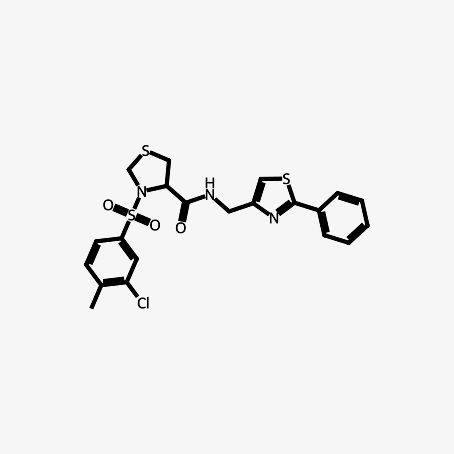 Cc1ccc(S(=O)(=O)N2CSCC2C(=O)NCc2csc(-c3ccccc3)n2)cc1Cl